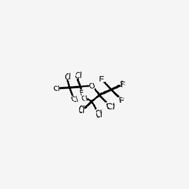 FC(F)(F)C(Cl)(OC(F)(Cl)C(Cl)(Cl)Cl)C(Cl)(Cl)Cl